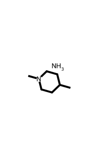 CC1CCN(C)CC1.N